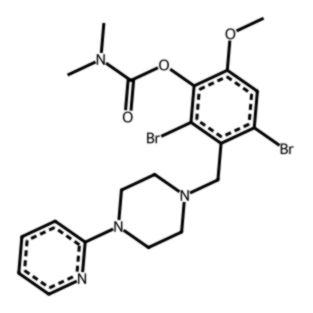 COc1cc(Br)c(CN2CCN(c3ccccn3)CC2)c(Br)c1OC(=O)N(C)C